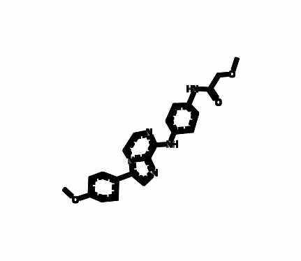 COCC(=O)Nc1ccc(Nc2nccn3c(-c4ccc(OC)cc4)cnc23)cc1